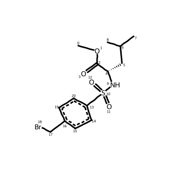 COC(=O)[C@H](CC(C)C)NS(=O)(=O)c1ccc(CBr)cc1